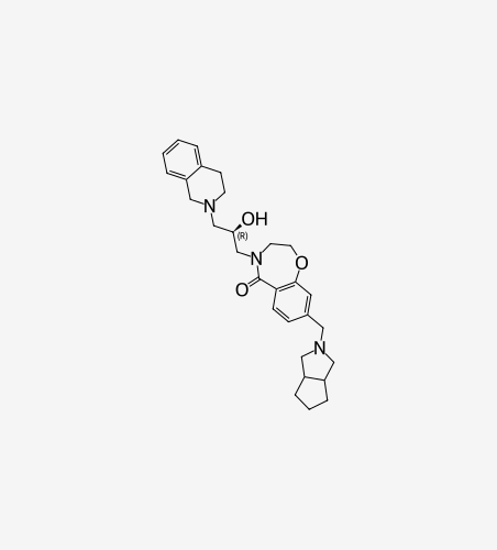 O=C1c2ccc(CN3CC4CCCC4C3)cc2OCCN1C[C@H](O)CN1CCc2ccccc2C1